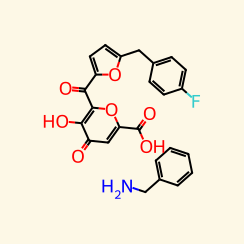 NCc1ccccc1.O=C(O)c1cc(=O)c(O)c(C(=O)c2ccc(Cc3ccc(F)cc3)o2)o1